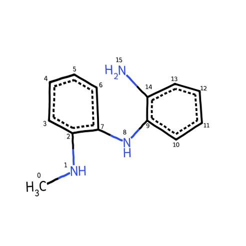 CNc1ccccc1Nc1ccccc1N